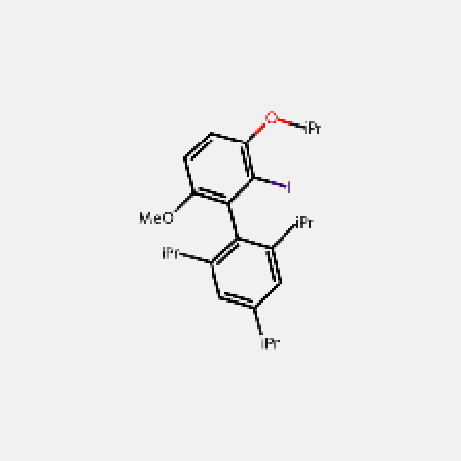 COc1ccc(OC(C)C)c(I)c1-c1c(C(C)C)cc(C(C)C)cc1C(C)C